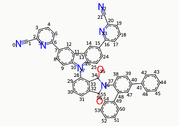 N#Cc1cccc(-c2ccc3c(c2)c2cc(-c4cccc(C#N)n4)ccc2n3-c2cccc3c2C(=O)N(c2ccc(-c4ccccc4)cc2-c2ccccc2)C3=O)n1